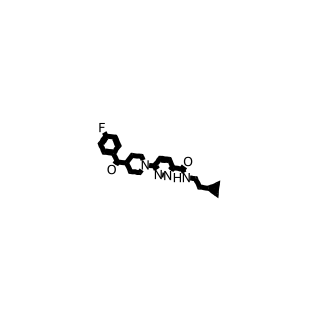 O=C(NCCC1CC1)c1ccc(N2CCC(C(=O)c3ccc(F)cc3)CC2)nn1